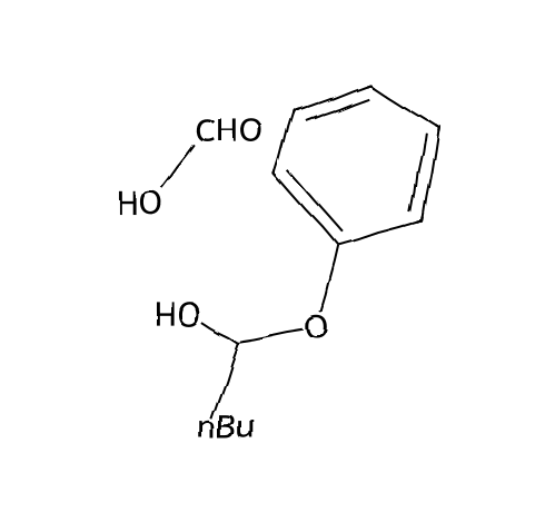 CCCCC(O)Oc1ccccc1.O=CO